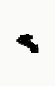 CC(C)(C)[S+]([O-])N[C@@H]1c2ccccc2CC12CCN(c1cnc(Oc3ccnc(Cl)c3Cl)cn1)CC2